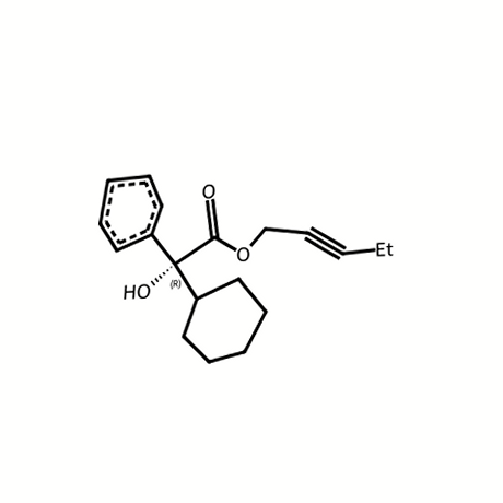 CCC#CCOC(=O)[C@](O)(c1ccccc1)C1CCCCC1